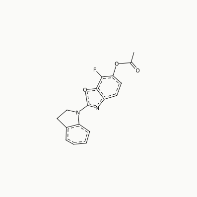 CC(=O)Oc1ccc2nc(N3CCc4ccccc43)oc2c1F